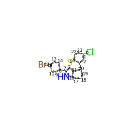 Clc1ccc(Sc2c(-c3ccc(Br)cc3)[nH]c3ccccc23)cc1